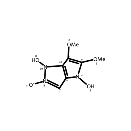 COc1c(OC)n(O)c2c[n+]([O-])n(O)c12